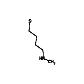 CNCCCC[S]